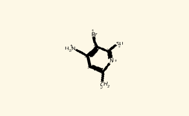 Cc1cc(N)c(Br)c(S)n1